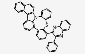 c1ccc(-c2nc3ccccc3nc2-c2cccc3c2sc2ccccc2n2c4ccc5ccccc5c4c4cccc3c42)cc1